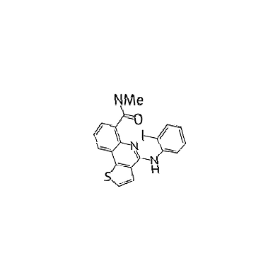 CNC(=O)c1cccc2c1nc(Nc1ccccc1I)c1ccsc12